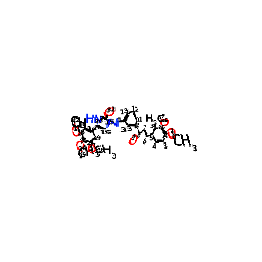 COc1ccc(C=CC(=O)c2cccc(-n3cc(-c4cc(OC)c(OC)c(OC)c4)[nH]c3=O)c2)cc1OC